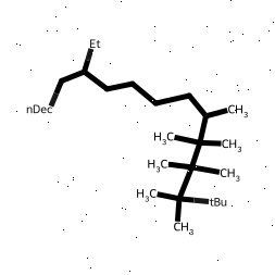 CCCCCCCCCCCC(CC)CCCCC(C)C(C)(C)C(C)(C)C(C)(C)C(C)(C)C